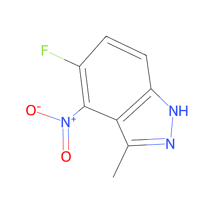 Cc1n[nH]c2ccc(F)c([N+](=O)[O-])c12